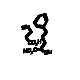 CC(C)(C)C(=CC=Cc1ccccc1)C(=O)O.CC(C)(C)C=CC(=O)O